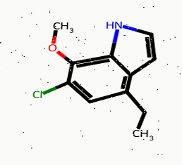 CCc1cc(Cl)c(OC)c2[nH]ccc12